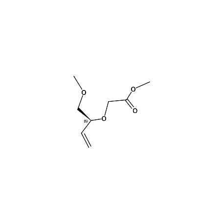 C=C[C@@H](COC)OCC(=O)OC